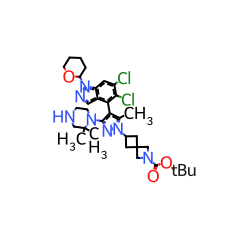 Cc1c(-c2c(Cl)c(Cl)cc3c2cnn3C2CCCCO2)c(N2CCNCC2(C)C)nn1C1CC2(C1)CN(C(=O)OC(C)(C)C)C2